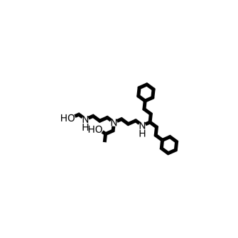 CC(O)CN(CCCNCO)CCCNC(CCC1CCCCC1)CCC1CCCCC1